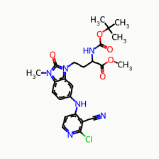 COC(=O)C(CCn1c(=O)n(C)c2ccc(Nc3ccnc(Cl)c3C#N)cc21)NC(=O)OC(C)(C)C